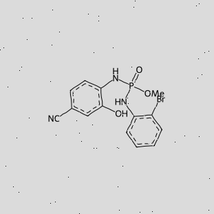 COP(=O)(Nc1ccc(C#N)cc1O)Nc1ccccc1Br